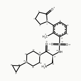 Cc1c(N2CCCC2=O)cccc1S(=O)(=O)N[C@@H](CN)C(=O)N1CCN(C2CC2)CC1